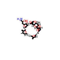 C=C1C[C@@H]2CCC34C[C@H]5O[C@H]6[C@@H](O3)[C@H]3OC(CC[C@@H]3O[C@H]6[C@H]5O4)CC(=O)C[C@H]3[C@H](CC4O[C@@H](CCC1O2)C[C@@H](C)C4=C)OC(C[C@H](O)CN)[C@@H]3OC